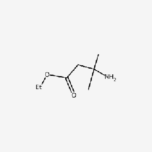 CCOC(=O)CC(C)(C)N